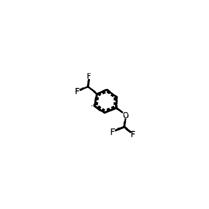 FC(F)Oc1c[c]c(C(F)F)cc1